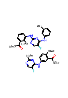 CNC(=O)c1cc(Nc2nc(NC)ncc2F)ccc1OC.COC(=O)c1cccc(Nc2ncc(F)c(Nc3cccc(C(C)(C)C)c3)n2)c1OC